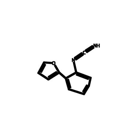 N=C=Nc1ccccc1-c1ccco1